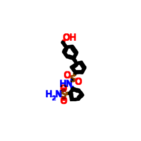 NS(=O)(=O)c1ccccc1NS(=O)(=O)c1cccc(-c2ccc(CO)cc2)c1